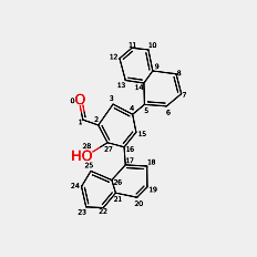 O=Cc1cc(-c2cccc3ccccc23)cc(-c2cccc3ccccc23)c1O